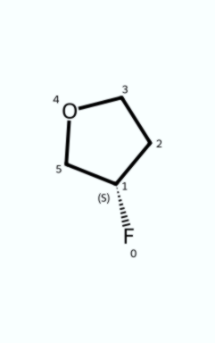 F[C@H]1CCOC1